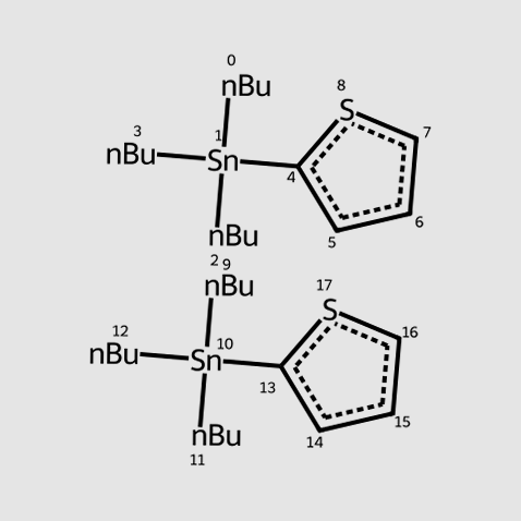 CCC[CH2][Sn]([CH2]CCC)([CH2]CCC)[c]1cccs1.CCC[CH2][Sn]([CH2]CCC)([CH2]CCC)[c]1cccs1